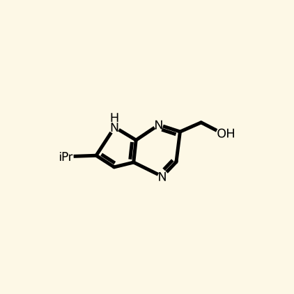 CC(C)c1cc2ncc(CO)nc2[nH]1